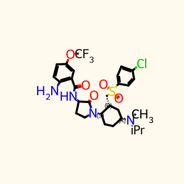 CC(C)N(C)[C@@H]1CC[C@H](N2CCC(NC(=O)c3cc(OC(F)(F)F)ccc3N)C2=O)[C@H](CS(=O)(=O)c2ccc(Cl)cc2)C1